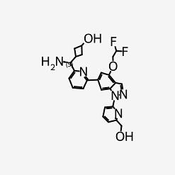 N[C@H](c1cccc(-c2cc(OCC(F)F)c3cnn(-c4cccc(CO)n4)c3c2)n1)C1CC(O)C1